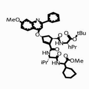 CCC[C@H](NC(=O)[C@@H]1C[C@@H](Oc2cc(-c3ccccc3)nc3cc(OC)ccc23)C=C1C(=O)N[C@H](C(=O)NC(C(=O)OC)C1CCCCC1)C(C)C)C(=O)OC(C)(C)C